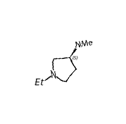 CCN1CC[C@H](NC)C1